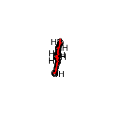 CCCCNC(=O)COCCOCCNC(=O)COCCOCCNC(=O)CC[C@H](NC(=O)[C@H]1CC[C@H](CNC(=O)CCCCCCCCCCCCCCCCCCC(=O)O)CC1)C(=O)O